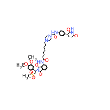 CCOc1cc(C(CS(C)(=O)=O)N2C(=O)c3cccc(NC(=O)CCCCCCCN4CCN(CC(=O)Nc5ccc(C6CCC(=O)NC6=O)cc5)CC4)c3C2=O)ccc1OC